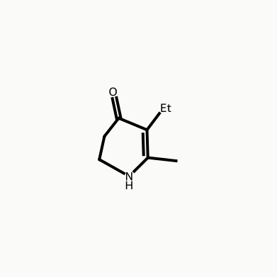 [CH2]CC1=C(C)NCCC1=O